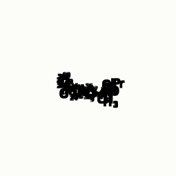 CC(CNS(=O)(=O)C(C)C)c1ccc(N2CCN(C(=O)c3ccccc3)CC2)cc1